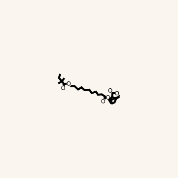 CCC(C)(C)C(=O)OCCCCCCCCCCC(=O)OC1C2CC3C(=O)OC1C3C2